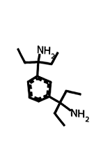 CCC(N)(CC)c1cccc(C(N)(CC)CC)c1